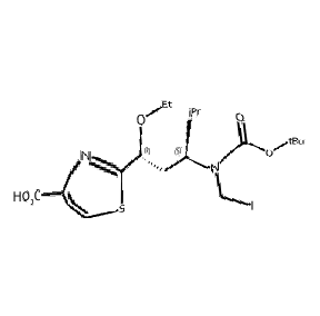 CCO[C@H](C[C@@H](C(C)C)N(CI)C(=O)OC(C)(C)C)c1nc(C(=O)O)cs1